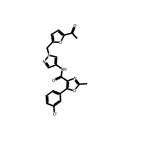 CC(=O)c1ccc(Cn2cc(NC(=O)c3nc(C)oc3-c3cccc(Cl)c3)cn2)o1